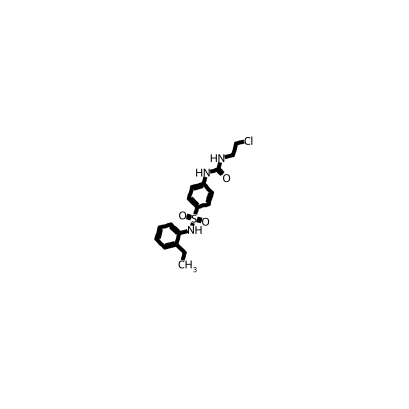 CCc1ccccc1NS(=O)(=O)c1ccc(NC(=O)NCCCl)cc1